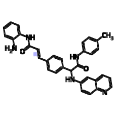 Cc1ccc(NC(=O)C(Nc2ccc3ncccc3c2)c2ccc(/C=C/C(=O)Nc3ccccc3N)cc2)cc1